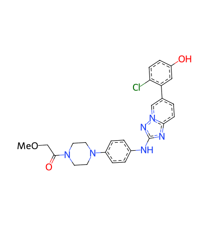 COCC(=O)N1CCN(c2ccc(Nc3nc4ccc(-c5cc(O)ccc5Cl)cn4n3)cc2)CC1